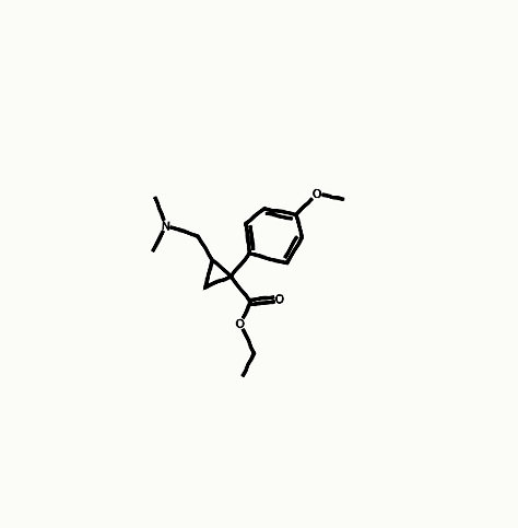 CCOC(=O)C1(c2ccc(OC)cc2)CC1CN(C)C